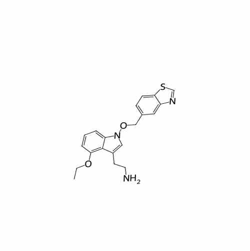 CCOc1cccc2c1c(CCN)cn2OCc1ccc2scnc2c1